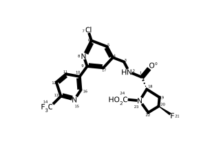 O=C(NCc1cc(Cl)nc(-c2ccc(C(F)(F)F)nc2)c1)[C@@H]1C[C@@H](F)CN1C(=O)O